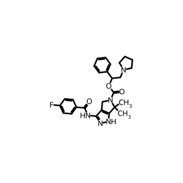 CC1(C)c2[nH]nc(NC(=O)c3ccc(F)cc3)c2CN1C(=O)OC(CN1CCCC1)c1ccccc1